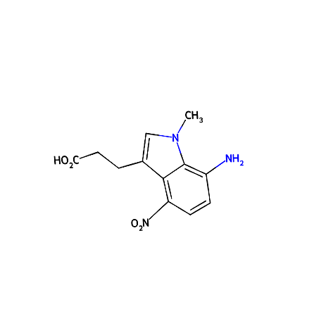 Cn1cc(CCC(=O)O)c2c([N+](=O)[O-])ccc(N)c21